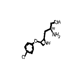 N[C@H](CO)CC1NCC1Oc1ccc(Cl)cc1